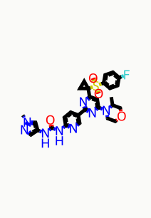 CC1COCCN1c1cc(C2(S(=O)(=O)c3ccc(F)cc3)CC2)nc(-c2ccc(NC(=O)Nc3cnn(C)c3)nc2)n1